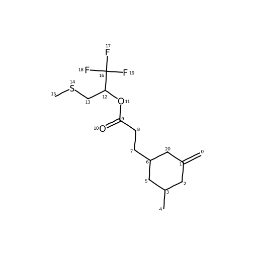 C=C1CC(C)CC(CCC(=O)OC(CSC)C(F)(F)F)C1